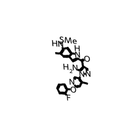 CSNc1cc2[nH]c(C(=O)c3cnn(-c4cnc(Oc5ccccc5F)cc4C)c3N)cc2cc1C